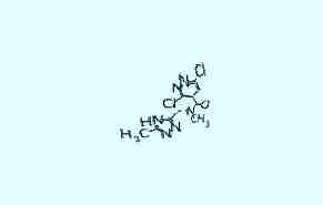 Cc1nnc(CN(C)C(=O)c2cc(Cl)nnc2Cl)[nH]1